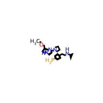 CCOCc1cnn2ccc(N3CCC[C@@H]3c3cc(P)ccc3CCNC3CC3)nc12